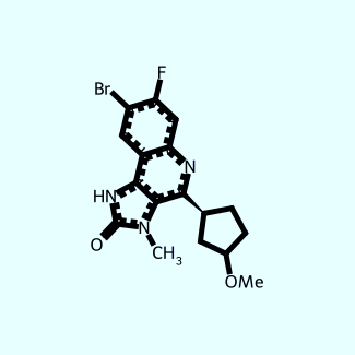 COC1CC[C@H](c2nc3cc(F)c(Br)cc3c3[nH]c(=O)n(C)c23)C1